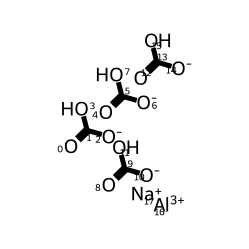 O=C([O-])O.O=C([O-])O.O=C([O-])O.O=C([O-])O.[Al+3].[Na+]